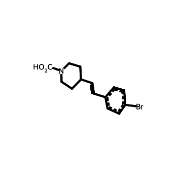 O=C(O)N1CCC(C=Cc2ccc(Br)cc2)CC1